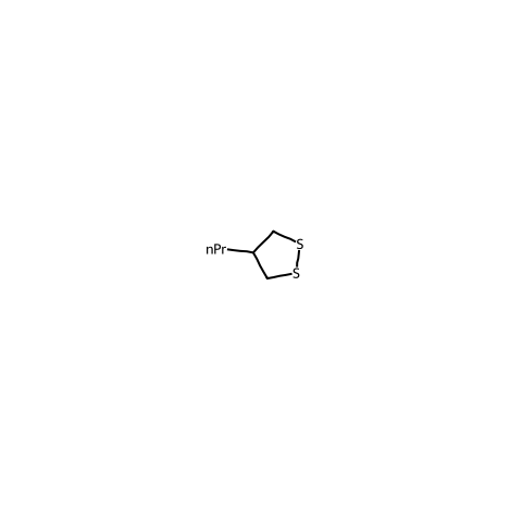 CCCC1CSSC1